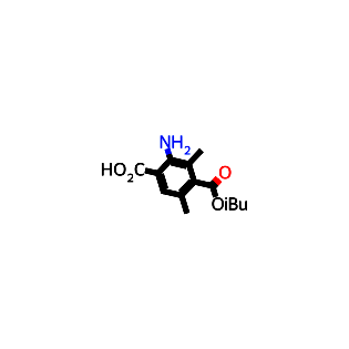 Cc1cc(C(=O)O)c(N)c(C)c1C(=O)OCC(C)C